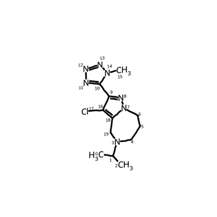 CC(C)N1CCCn2nc(-c3nnnn3C)c(Cl)c2C1